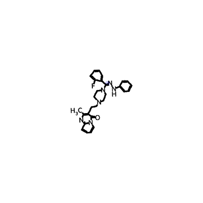 Cc1nc2ccccn2c(=O)c1CCN1CCN(/C(=N\Nc2ccccc2)c2ccccc2F)CC1